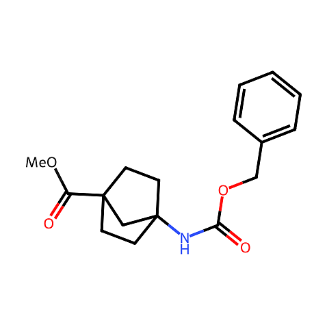 COC(=O)C12CCC(NC(=O)OCc3ccccc3)(CC1)C2